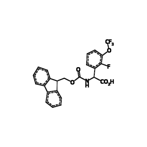 O=C(NC(C(=O)O)c1cccc(OC(F)(F)F)c1F)OCC1c2ccccc2-c2ccccc21